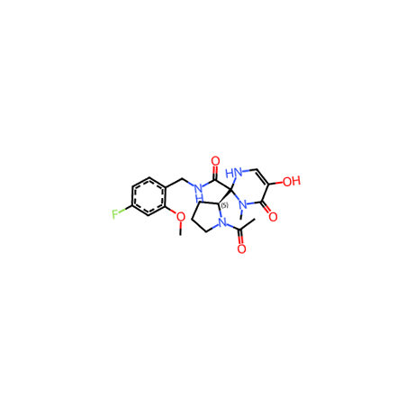 COc1cc(F)ccc1CNC(=O)C1([C@@H]2CCCN2C(C)=O)NC=C(O)C(=O)N1C